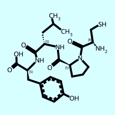 CC(C)C[C@H](NC(=O)[C@@H]1CCCN1C(=O)[C@@H](N)CS)C(=O)N[C@@H](Cc1ccc(O)cc1)C(=O)O